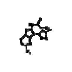 Cc1cc(-n2c(NC(=O)CC(C)(C)C)nc3ccc(C(F)(F)F)nc32)on1